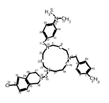 Cc1ccc(CN2CCCN(Sc3ccc(N(C)C)cc3)CCCN(SN3CCc4cc(Cl)ccc4C3)CCC2)cc1